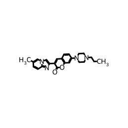 CCCN1CCN(c2ccc3cc(-c4cn5cc(C)ccc5n4)c(=O)oc3c2)CC1